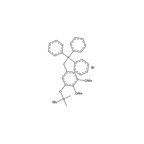 COc1cc(C[P+](c2ccccc2)(c2ccccc2)c2ccccc2)cc(O[Si](C)(C)C(C)(C)C)c1OC.[Br-]